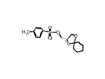 Cc1ccc(S(=O)(=O)OC[C@@H]2COC3(CCCCC3)O2)cc1